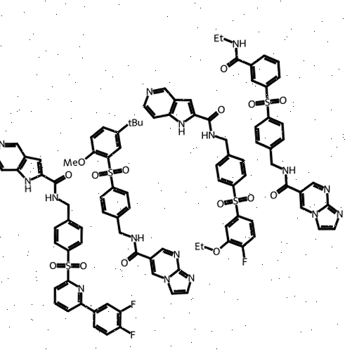 CCNC(=O)c1cccc(S(=O)(=O)c2ccc(CNC(=O)c3cnc4nccn4c3)cc2)c1.CCOc1cc(S(=O)(=O)c2ccc(CNC(=O)c3cc4cnccc4[nH]3)cc2)ccc1F.COc1ccc(C(C)(C)C)cc1S(=O)(=O)c1ccc(CNC(=O)c2cnc3nccn3c2)cc1.O=C(NCc1ccc(S(=O)(=O)c2cccc(-c3ccc(F)c(F)c3)n2)cc1)c1cc2cnccc2[nH]1